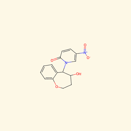 O=c1ccc([N+](=O)[O-])cn1C1c2ccccc2OCCC1O